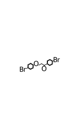 O=C(CCOc1ccc(Br)cc1)c1ccc(Br)cc1